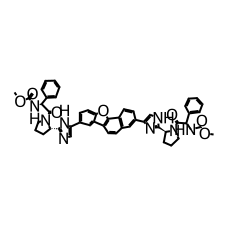 COC(=O)N[C@@H](C(=O)N1CCC[C@H]1c1nc(-c2ccc3c(ccc4c5cc(-c6cnc([C@@H]7CCCN7C(=O)[C@H](NC(=O)OC)c7ccccc7)[nH]6)ccc5oc34)c2)c[nH]1)c1ccccc1